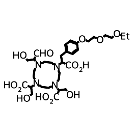 CCOCCOCCOc1ccc(CC(C(=O)O)N2CCN(C(C=O)CO)CCN(C(CO)C(=O)O)CCN(C(CO)C(=O)O)CC2)cc1